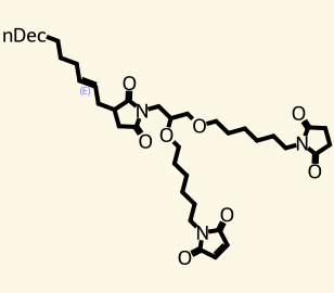 CCCCCCCCCCCCC/C=C/CC1CC(=O)N(CC(COCCCCCCN2C(=O)CCC2=O)OCCCCCCN2C(=O)C=CC2=O)C1=O